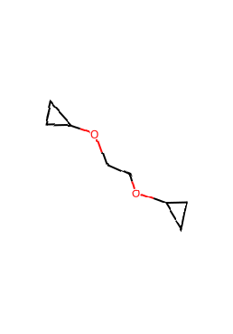 C(COC1CC1)OC1CC1